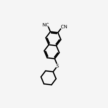 N#Cc1cc2ccc(SC3CCCCC3)cc2cc1C#N